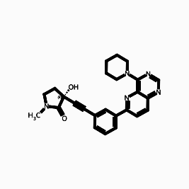 CN1CC[C@@](O)(C#Cc2cccc(-c3ccc4ncnc(N5CCCCC5)c4n3)c2)C1=O